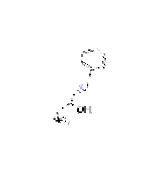 O=[N+]([O-])CC(O)/C=C/c1ccccc1